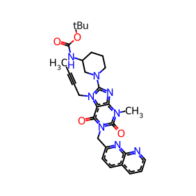 CC#CCn1c(N2CCCC(NC(=O)OC(C)(C)C)C2)nc2c1c(=O)n(Cc1ccc3cccnc3n1)c(=O)n2C